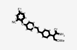 COCC(C(N)=O)C1CCC(CCN2CCC(Oc3ccc(F)cc3C#N)CC2)CC1